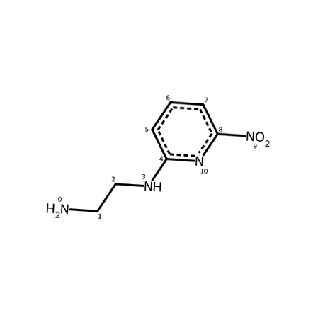 NCCNc1cccc([N+](=O)[O-])n1